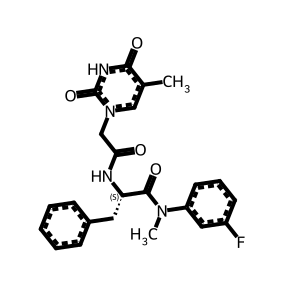 Cc1cn(CC(=O)N[C@@H](Cc2ccccc2)C(=O)N(C)c2cccc(F)c2)c(=O)[nH]c1=O